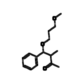 COCCCOC(c1ccccc1)C(C)C(C)=O